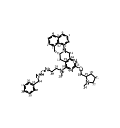 Cc1cccc2cccc(N3CCc4c(nc(OCC5CCCN5C)nc4N(C)CCN=C=NCc4ccccc4)C3)c12